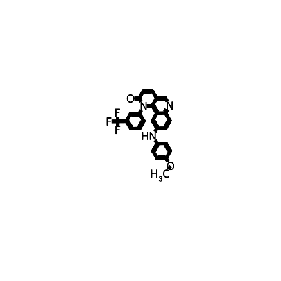 COc1ccc(Nc2ccc3ncc4ccc(=O)n(-c5cccc(C(F)(F)F)c5)c4c3c2)cc1